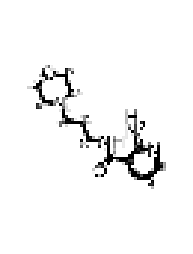 Nc1ncccc1C(=O)NCCCN1CCOCC1